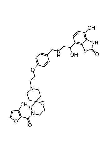 Cc1ccoc1C(=O)N1CCOC2(CCN(CCOc3ccc(CNCC(O)c4ccc(O)c5[nH]c(=O)sc45)cc3)CC2)C1